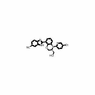 CCc1ccc(N2c3cccc(-c4nc5ccc(C#N)cc5[nH]4)c3OC[C@@H]2CO)nc1